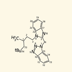 CC(CCn1c(Cn2nnc3ccccc32)nc2ccccc21)CC(C)(C)C